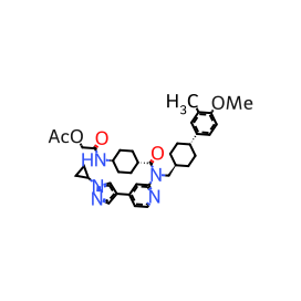 COc1ccc([C@H]2CC[C@H](CN(c3cc(-c4cnn(C5CC5)c4)ccn3)C(=O)[C@H]3CC[C@H](NC(=O)COC(C)=O)CC3)CC2)cc1C